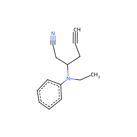 C#CCC(CC#N)N(CC)c1ccccc1